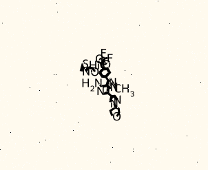 Cn1nc(-c2ccc(NS(=O)(=O)C(F)F)c(OCc3nccs3)c2)c2c(N)ncc(-c3cnn(C4CCOCC4)c3)c21